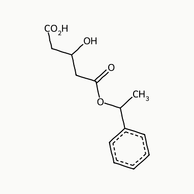 CC(OC(=O)CC(O)CC(=O)O)c1ccccc1